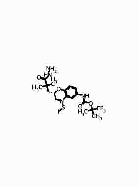 CC(C)(C[C@H]1CN(SI)c2cc(NC(=O)OC(C)(C)C(F)(F)F)ccc2O1)C(=O)NN